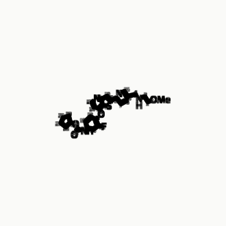 COCCNCc1ccc(-c2cc3nccc(Oc4ccc(NC(=O)OC5CCCC5)cc4F)c3s2)nc1